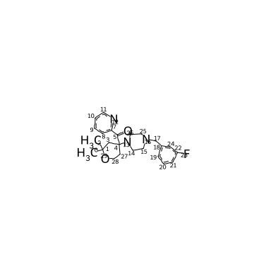 CC1(C)CC(C(=O)c2ccccn2)(N2CCN(Cc3cccc(F)c3)CC2)CCO1